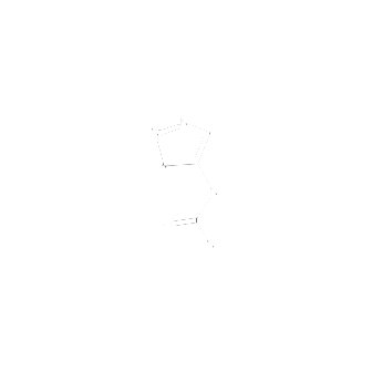 NC(=O)NC1=CN=NC1=O